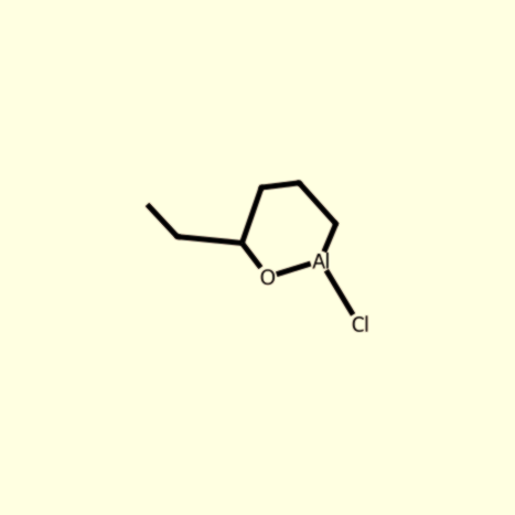 CCC1CC[CH2][Al]([Cl])[O]1